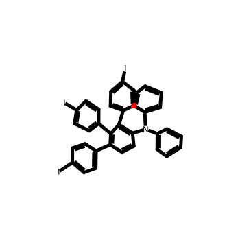 Ic1ccc(-c2ccc(N(c3ccccc3)c3ccccc3)c(-c3ccc(I)cc3)c2-c2ccc(I)cc2)cc1